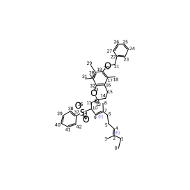 CC/C(C)=C/CC/C(C)=C/C(C[C@]1(C)CCc2c(C)c(OCc3ccccc3)c(C)c(C)c2O1)S(=O)(=O)c1ccccc1